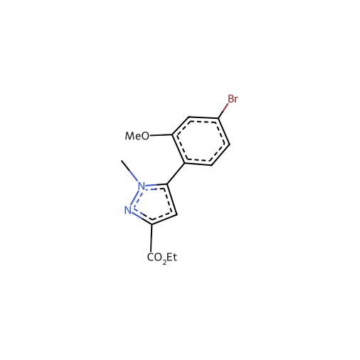 CCOC(=O)c1cc(-c2ccc(Br)cc2OC)n(C)n1